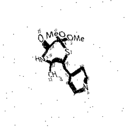 COC1(OC)SC(c2ccncc2)=C(C)NC1=O